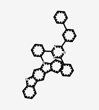 c1ccc(-c2cccc(-c3nc(-c4ccccc4)nc(-c4ccccc4-n4c5ccccc5c5cc6c(cc54)oc4ccccc46)n3)c2)cc1